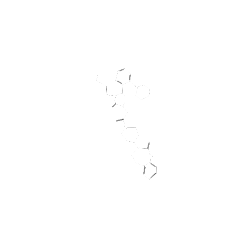 CC(C)CCN1C(=O)C(CC(=O)N2CCC(N3CCc4ccccc4NC3=O)CC2)SC1c1ccccc1N1CCCCC1